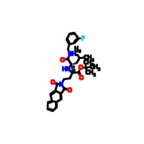 CC(C)C[C@H](N[C@H](CCN1C(=O)c2cc3ccccc3cc2C1=O)C(=O)OC(C)(C)C)C(=O)NCc1cccc(F)c1